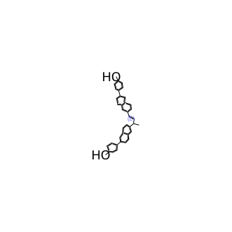 CC(/C=C/c1ccc2cc(-c3ccc(O)cc3)ccc2c1)c1ccc2cc(-c3ccc(O)cc3)ccc2c1